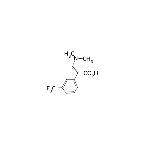 CN(C)C=C(C(=O)O)c1cccc(C(F)(F)F)c1